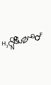 CC(C)C(C#N)(CCCN1CCN(CCOc2cccc(F)c2)CC1)c1cccs1